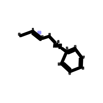 C/C=C/[CH2][Mg][c]1ccccc1